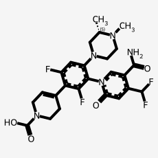 C[C@H]1CN(c2cc(F)c(C3=CCN(C(=O)O)CC3)c(F)c2-n2cc(C(N)=O)c(C(F)F)cc2=O)CCN1C